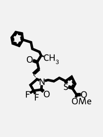 COC(=O)c1ccc(CCCN2C(=O)C(F)(F)C[C@@H]2C=CC(=O)[C@H](C)CCCc2ccccc2)s1